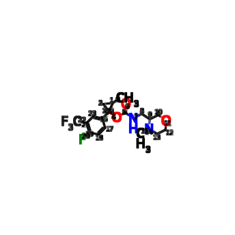 CC1C[C@@]1(OC(=O)NCC1COCCN1C)c1ccc(F)c(C(F)(F)F)c1